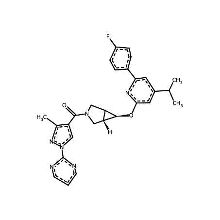 Cc1nn(-c2ncccn2)cc1C(=O)N1CC2[C@@H](C1)[C@@H]2Oc1cc(C(C)C)cc(-c2ccc(F)cc2)n1